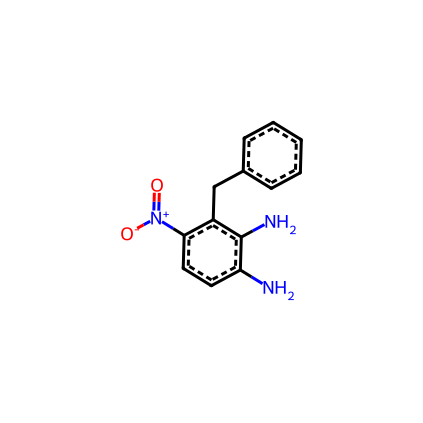 Nc1ccc([N+](=O)[O-])c(Cc2ccccc2)c1N